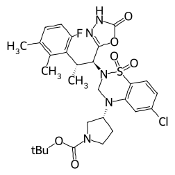 Cc1ccc(F)c([C@@H](C)[C@@H](c2n[nH]c(=O)o2)N2CN([C@@H]3CCN(C(=O)OC(C)(C)C)C3)c3cc(Cl)ccc3S2(=O)=O)c1C